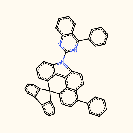 c1ccc(-c2nc(-n3c4cccc5c4c4c6c(ccc(-c7ccccc7)c6ccc43)C53c4ccccc4-c4ccccc43)nc3ccccc23)cc1